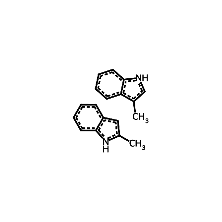 Cc1c[nH]c2ccccc12.Cc1cc2ccccc2[nH]1